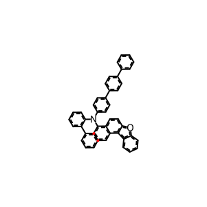 c1ccc(-c2ccc(-c3ccc(N(c4ccccc4-c4ccccc4)c4cccc5c4ccc4oc6ccccc6c45)cc3)cc2)cc1